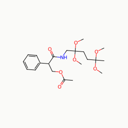 COC(C)(CCC(CNC(=O)C(COC(C)=O)c1ccccc1)(OC)OC)OC